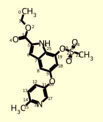 CCOC(=O)c1cc2cc(Oc3ccc(C)nc3)cc(OS(C)(=O)=O)c2[nH]1